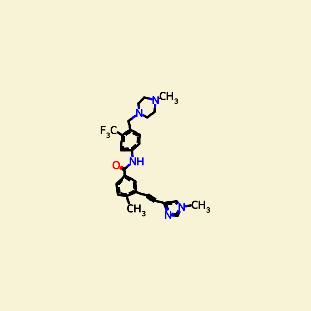 Cc1ccc(C(=O)Nc2ccc(CN3CCN(C)CC3)c(C(F)(F)F)c2)cc1C#Cc1cn(C)cn1